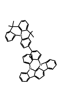 CC1(C)c2ccccc2N2c3ccc(-c4ccc(-n5c6ccccc6c6ccc7c8ccccc8n(-c8ccccc8)c7c65)cc4)cc3C(C)(C)c3cccc1c32